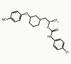 N#Cc1ccc(OC2CCCN(C[C@H](OC(=O)Nc3ccc(Cl)cc3)C(F)(F)F)C2)cc1